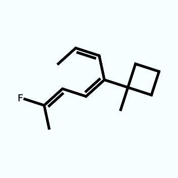 C\C=C/C(=C\C=C(/C)F)C1(C)CCC1